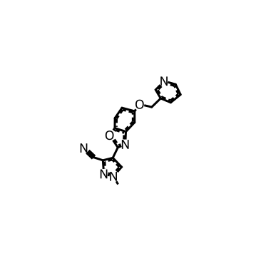 Cn1cc(-c2nc3cc(OCc4cccnc4)ccc3o2)c(C#N)n1